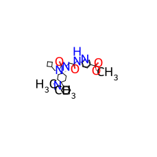 COC(=O)c1ccc(NC(=O)CN2C[C@]3(CC[C@@](c4ccccc4)(N(C)C)CC3)N(CC3CCC3)C2=O)nc1